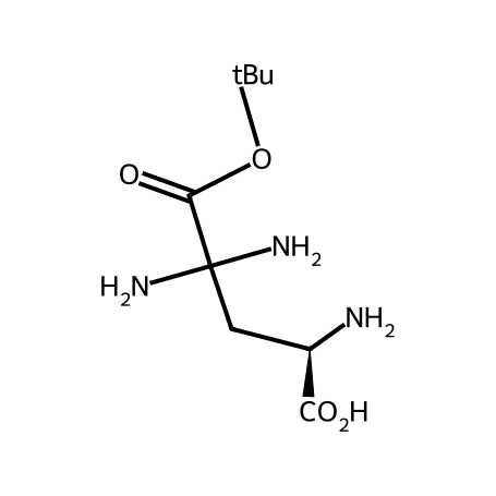 CC(C)(C)OC(=O)C(N)(N)C[C@@H](N)C(=O)O